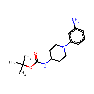 CC(C)(C)OC(=O)NC1CCN(c2cccc(N)c2)CC1